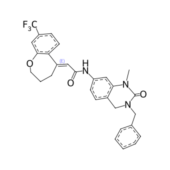 CN1C(=O)N(Cc2ccccc2)Cc2ccc(NC(=O)/C=C3\CCCOc4cc(C(F)(F)F)ccc43)cc21